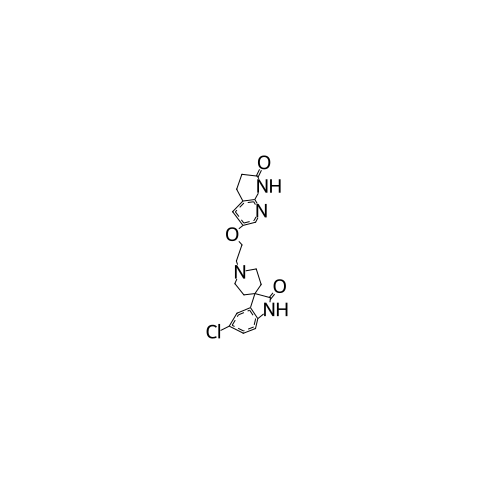 O=C1CCc2cc(OCCN3CCC4(CC3)C(=O)Nc3ccc(Cl)cc34)cnc2N1